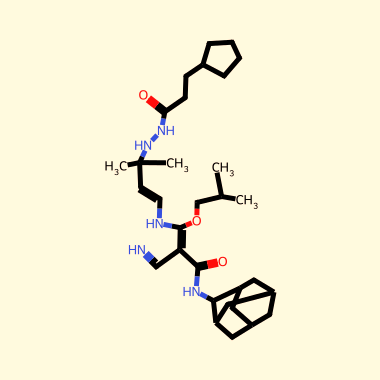 CC(C)CO/C(N/C=C/C(C)(C)NNC(=O)CCC1CCCC1)=C(/C=N)C(=O)NC1C2CC3CC(C2)CC1C3